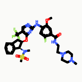 COc1cc(C(=O)NCCN2CCN(C)CC2)c(F)cc1Nc1ncc(C(F)(F)F)c(O[C@@H]2Cc3ccccc3[C@H]2N(C)S(C)(=O)=O)n1